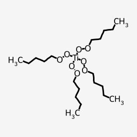 CCCCCO[O][Ti]([O]OCCCCC)([O]OCCCCC)[O]OCCCCC